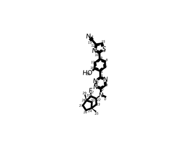 CN(c1cnc(-c2ccc(-c3nc(C#N)cs3)cc2O)nn1)[C@H]1C[C@]2(C)CC[C@@](C)(C2)[C@H]1F